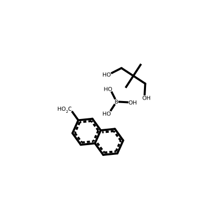 CC(C)(CO)CO.O=C(O)c1ccc2ccccc2c1.OB(O)O